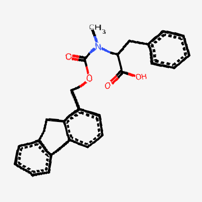 CN(C(=O)OCc1cccc2c1Cc1ccccc1-2)C(Cc1ccccc1)C(=O)O